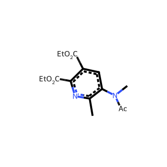 CCOC(=O)c1cc(N(C)C(C)=O)c(C)nc1C(=O)OCC